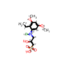 CCc1c(OC)cc(OC)cc1N(F)CC(O)CS(=O)(=O)O